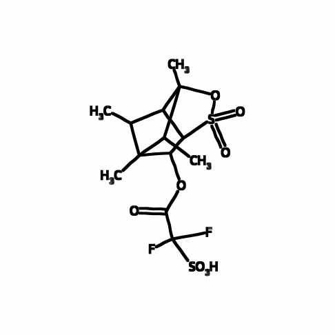 CC1C2C3C(OC(=O)C(F)(F)S(=O)(=O)O)C1(C)C(C)C2(C)OS3(=O)=O